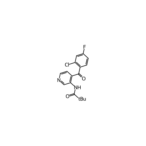 CC(C)(C)C(=O)Nc1cnccc1C(=O)c1ccc(F)cc1Cl